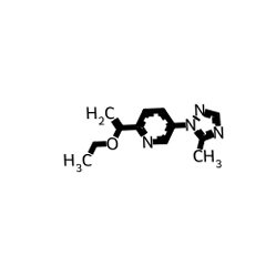 C=C(OCC)c1ccc(-n2ncnc2C)cn1